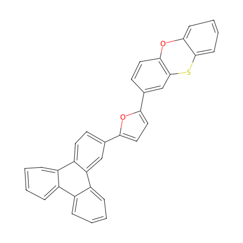 c1ccc2c(c1)Oc1ccc(-c3ccc(-c4ccc5c6ccccc6c6ccccc6c5c4)o3)cc1S2